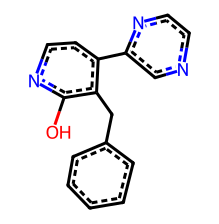 Oc1nccc(-c2cnccn2)c1Cc1ccccc1